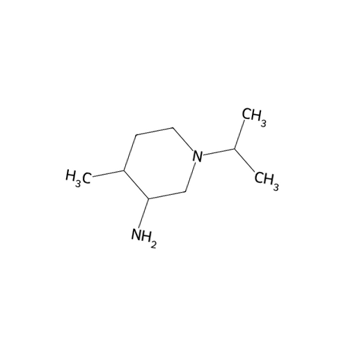 CC1CCN(C(C)C)CC1N